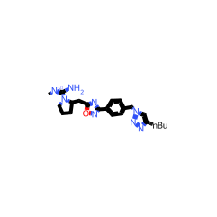 CCCCc1cn(Cc2ccc(-c3noc(CC4CCCN4/C(N)=N\C)n3)cc2)nn1